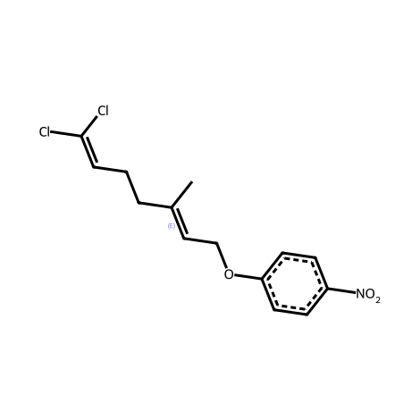 C/C(=C\COc1ccc([N+](=O)[O-])cc1)CCC=C(Cl)Cl